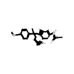 COc1ccc(C(C)(CC#N)c2ccc(OC(C)=O)cc2)cc1